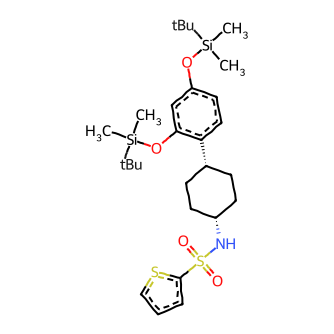 CC(C)(C)[Si](C)(C)Oc1ccc([C@H]2CC[C@@H](NS(=O)(=O)c3cccs3)CC2)c(O[Si](C)(C)C(C)(C)C)c1